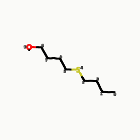 CCCCSCCCC[O]